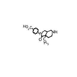 CC12CCNCC1CN(c1ccc(C(=O)O)cc1)C2=O